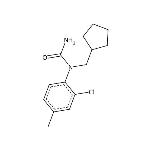 Cc1ccc(N(CC2CCCC2)C(N)=O)c(Cl)c1